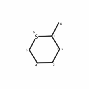 CC1[C]CCCS1